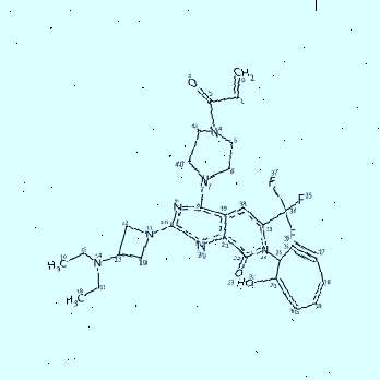 C=CC(=O)N1CCN(c2nc(N3CC(N(CC)CC)C3)nc3c(=O)n(C4C#CC=CC=C4O)c(C(F)(F)F)cc23)CC1